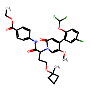 CCOC(=O)c1ccc(NC(=O)C(CCOC2(C)CCC2)n2cc(OC)c(-c3cc(Cl)ccc3OC(F)F)cc2=O)cc1